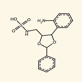 Nc1ccccc1C1OC(c2ccccc2)OC1CNS(=O)(=O)O